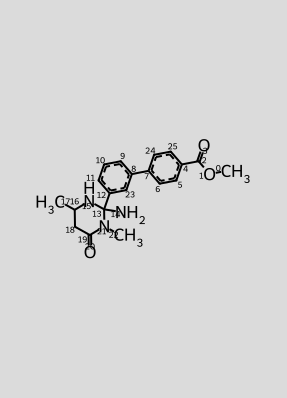 COC(=O)c1ccc(-c2cccc(C3(N)NC(C)CC(=O)N3C)c2)cc1